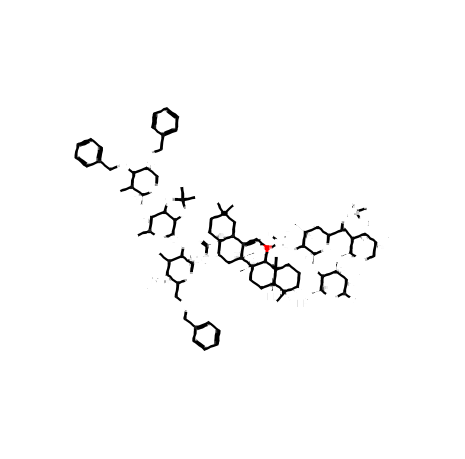 CC[Si](CC)(CC)OCC1O[C@@H](OC2[C@H](O[C@H]3CCC4(C)C5CC=C6C7CC(C)(C)CC[C@]7(C(=O)O[C@@H]7OC(COCc8ccccc8)[C@H](N)C(C)C7O[C@@H]7OC(C)[C@H](O[C@@H]8OC[C@@H](OCc9ccccc9)C(OCc9ccccc9)C8C)C8OC(C)(C)OC87)C(OC)C[C@@]6(C)[C@@]5(C)CC[C@H]4[C@@]3(C)C=O)OC(C(C)=O)[C@@H](C)[C@@H]2O[C@@H]2OC[C@@H](C)[C@@H](C)C2C)C(O[Si](CC)(CC)CC)[C@@H](C)[C@@H]1C